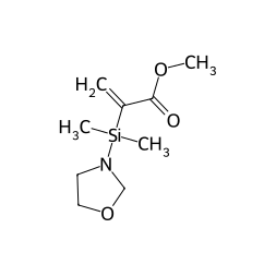 C=C(C(=O)OC)[Si](C)(C)N1CCOC1